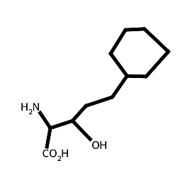 NC(C(=O)O)C(O)CCC1CCCCC1